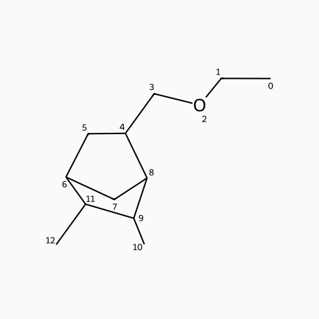 CCOCC1CC2CC1C(C)C2C